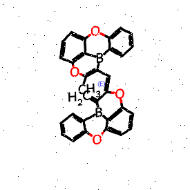 C=C1B2c3ccccc3Oc3cccc(c32)O/C1=C/C1=C(C)Oc2cccc3c2B1c1ccccc1O3